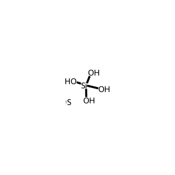 O[Si](O)(O)O.[S]